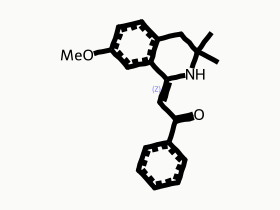 COc1ccc2c(c1)/C(=C/C(=O)c1ccccc1)NC(C)(C)C2